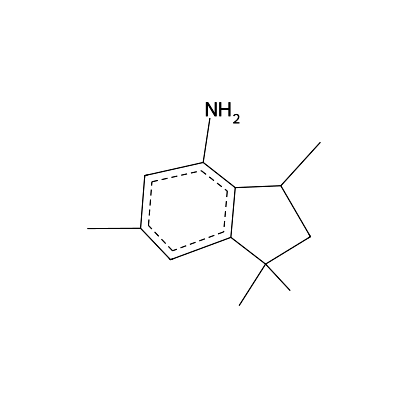 Cc1cc(N)c2c(c1)C(C)(C)CC2C